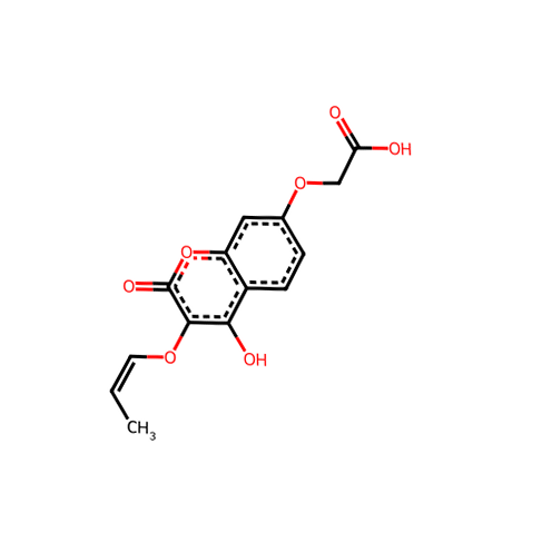 C/C=C\Oc1c(O)c2ccc(OCC(=O)O)cc2oc1=O